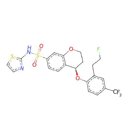 O=S(=O)(Nc1nccs1)c1ccc2c(c1)OCC[C@H]2Oc1ccc(C(F)(F)F)cc1CCF